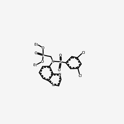 CCOP(=O)(CN(c1cccc2nccnc12)S(=O)(=O)c1cc(Cl)cc(Cl)c1)OCC